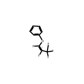 F/C(Oc1ccccc1)=C(\F)C(F)(F)F